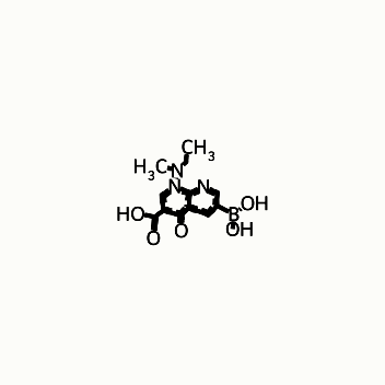 CCN(C)n1cc(C(=O)O)c(=O)c2cc(B(O)O)cnc21